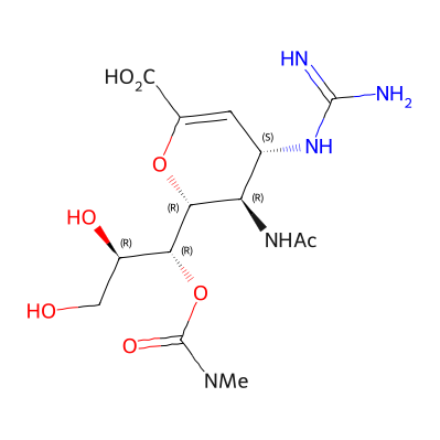 CNC(=O)O[C@@H]([C@@H]1OC(C(=O)O)=C[C@H](NC(=N)N)[C@H]1NC(C)=O)[C@H](O)CO